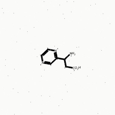 NC(CC(=O)O)c1cnccn1